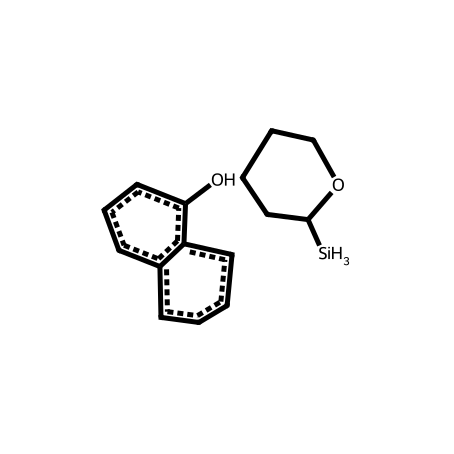 Oc1cccc2ccccc12.[SiH3]C1CCCCO1